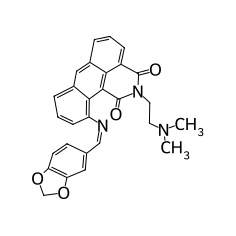 CN(C)CCN1C(=O)c2cccc3cc4cccc(/N=C\c5ccc6c(c5)OCO6)c4c(c23)C1=O